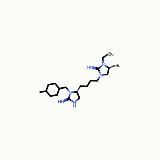 CCC(C)CN1C(=N)N(CCCC[C@H]2CNC(=N)N2CC2CCC(C)CC2)C[C@@H]1C(C)CC